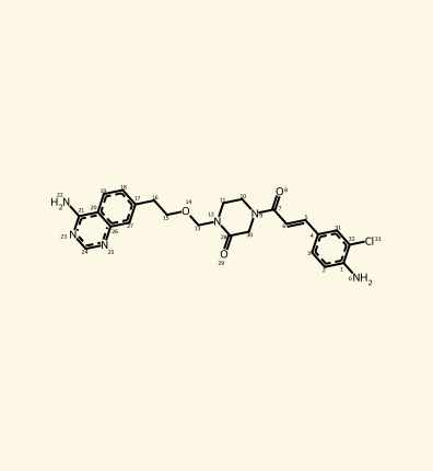 Nc1ccc(/C=C/C(=O)N2CCN(COCCc3ccc4c(N)ncnc4c3)C(=O)C2)cc1Cl